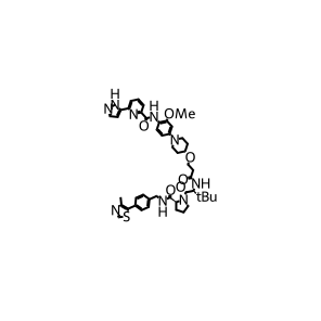 COc1cc(N2CCC(OCCC(=O)N[C@H](C(=O)N3CCC[C@H]3C(=O)NCc3ccc(-c4scnc4C)cc3)C(C)(C)C)CC2)ccc1NC(=O)c1cccc(-c2ccn[nH]2)n1